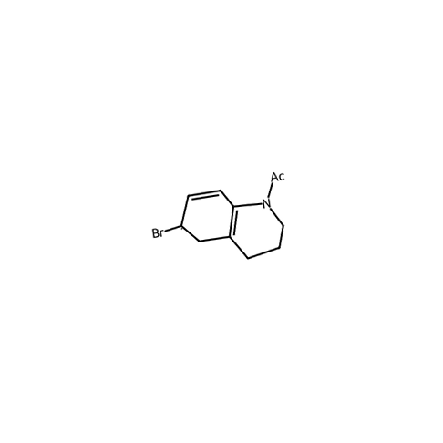 CC(=O)N1CCCC2=C1C=C[C](Br)C2